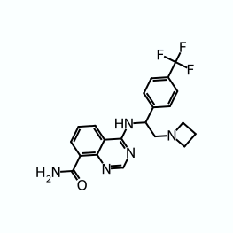 NC(=O)c1cccc2c(NC(CN3CCC3)c3ccc(C(F)(F)F)cc3)ncnc12